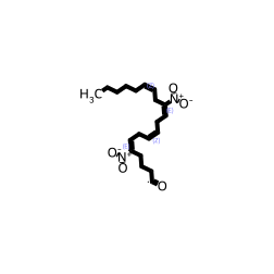 CCCCC/C=C\C/C(=C\C/C=C\C/C=C(\CCC[C]=O)[N+](=O)[O-])[N+](=O)[O-]